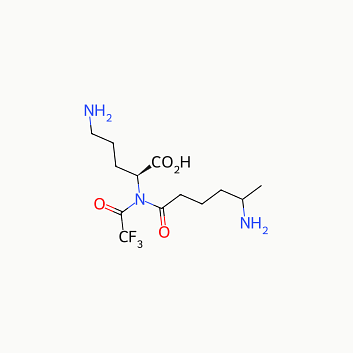 CC(N)CCCC(=O)N(C(=O)C(F)(F)F)[C@@H](CCCN)C(=O)O